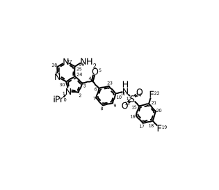 CC(C)n1cc(C(=O)c2cccc(NS(=O)(=O)c3ccc(F)cc3F)c2)c2c(N)ncnc21